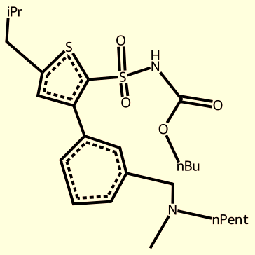 CCCCCN(C)Cc1cccc(-c2cc(CC(C)C)sc2S(=O)(=O)NC(=O)OCCCC)c1